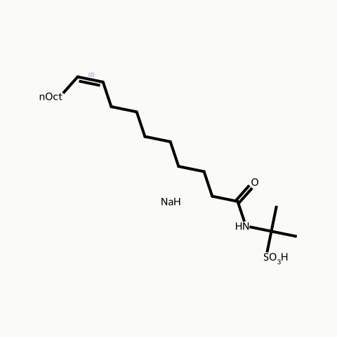 CCCCCCCC/C=C\CCCCCCCC(=O)NC(C)(C)S(=O)(=O)O.[NaH]